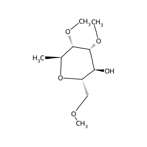 COC[C@@H]1O[C@@H](C)[C@H](OC)[C@H](OC)[C@H]1O